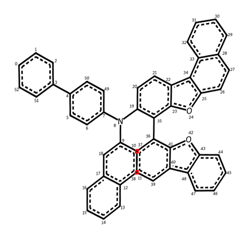 c1ccc(-c2ccc(N(c3ccc4ccccc4c3)c3ccc4c(oc5ccc6ccccc6c54)c3-c3cccc4c3oc3ccccc34)cc2)cc1